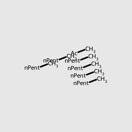 CC(C)=O.CCCCCC.CCCCCC.CCCCCC.CCCCCC.CCCCCC.CCCCCC